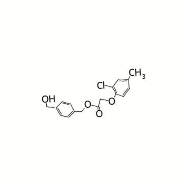 Cc1ccc(OCC(=O)OCc2ccc(CO)cc2)c(Cl)c1